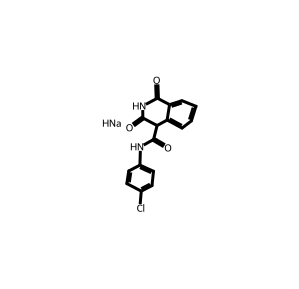 O=C1NC(=O)C(C(=O)Nc2ccc(Cl)cc2)c2ccccc21.[NaH]